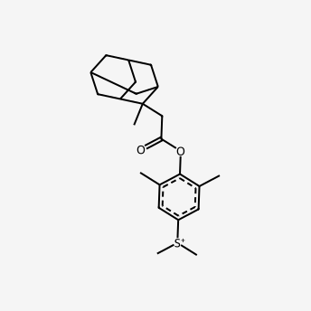 Cc1cc([S+](C)C)cc(C)c1OC(=O)CC1(C)C2CC3CC(C2)CC1C3